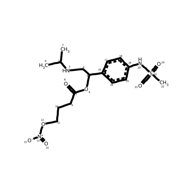 CC(C)NCC(OC(=O)CCCO[N+](=O)[O-])c1ccc(NS(C)(=O)=O)cc1